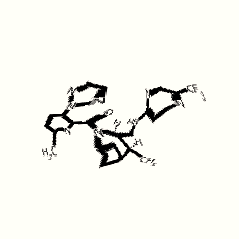 Cc1ccc(-n2nccn2)c(C(=O)N2C3CC(C3)[C@H](C)[C@@H]2CNc2cnc(C(F)(F)F)cn2)n1